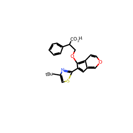 CC(C)(C)c1csc(-c2cc3coccc-3c2OCC(C(=O)O)c2ccccc2)n1